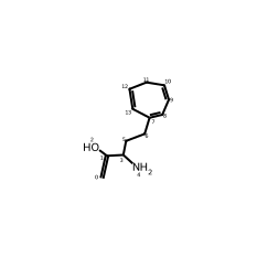 C=C(O)C(N)CCC1=CC=CCC=C1